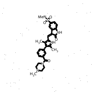 CNS(=O)(=O)c1ccc2c(c1)/C(=C/c1[nH]c(C)c(-c3cccc(C(=O)N4CCN(C)CC4)c3)c1C)C(=O)N2